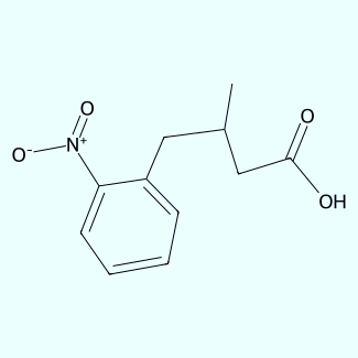 CC(CC(=O)O)Cc1ccccc1[N+](=O)[O-]